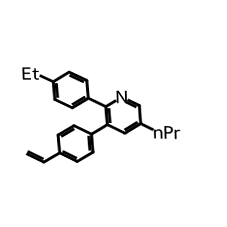 C=Cc1ccc(-c2cc(CCC)cnc2-c2ccc(CC)cc2)cc1